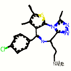 CNCCC1N=C(c2ccc(Cl)cc2)c2c(sc(C)c2C)-n2c(C)nnc21